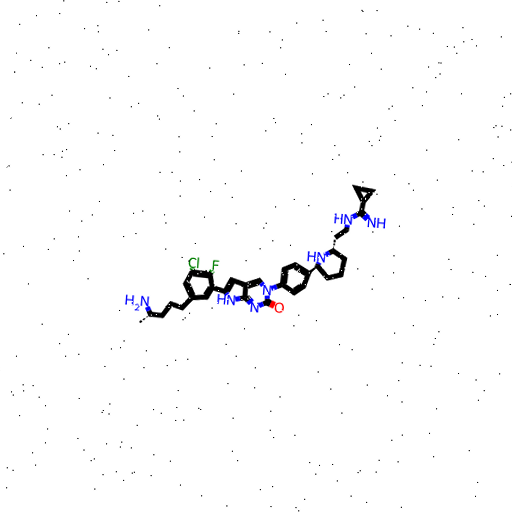 C[C@H](N)CCCc1cc(Cl)c(F)c(-c2cc3cn(-c4ccc([C@@H]5CCC[C@@H](CCNC(=N)C6CC6)N5)cc4)c(=O)nc3[nH]2)c1